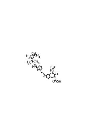 CC(C)(C)COC(C)(C)CCNc1cccc(CCOc2ccc3c(c2)CN(CC(F)(F)F)C(=O)[C@H](CC(=O)O)C3)n1